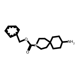 NC1CCC2(CC1)CCN(C(=O)OCc1ccccc1)CC2